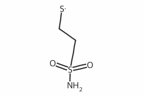 NS(=O)(=O)CC[S]